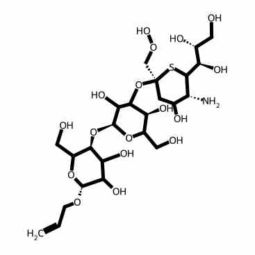 C=CCO[C@@H]1OC(CO)[C@@H](O[C@@H]2OC(CO)[C@H](O)C(O[C@]3(COO)CC(O)[C@@H](N)C([C@H](O)[C@H](O)CO)S3)C2O)C(O)C1O